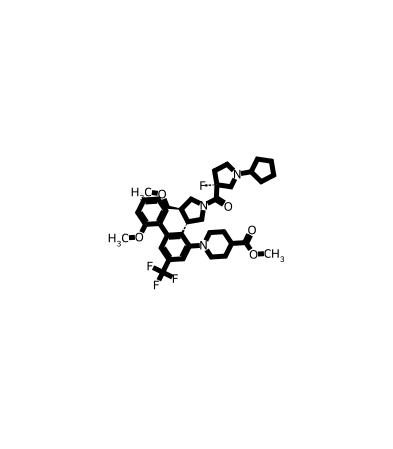 COC[C@H]1CN(C(=O)[C@@]2(F)CCN(C3CCCC3)C2)C[C@@H]1c1c(-c2ccccc2OC)cc(C(F)(F)F)cc1N1CCC(C(=O)OC)CC1